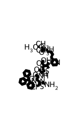 CC(C)(C)OC(=O)NC/C=C\Cc1cnccc1SC1=C(C(=O)O)N2C(=O)[C@@H](NC(=O)/C(=N\OC(c3ccccc3)(c3ccccc3)c3ccccc3)c3nc(N)sc3Cl)[C@@H]2SC1